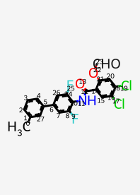 Cc1cccc(-c2cc(F)c(NC(=O)c3cc(Cl)c(Cl)cc3OC=O)c(F)c2)c1